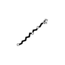 CC(C)NCCOCCOCCCCCCCl